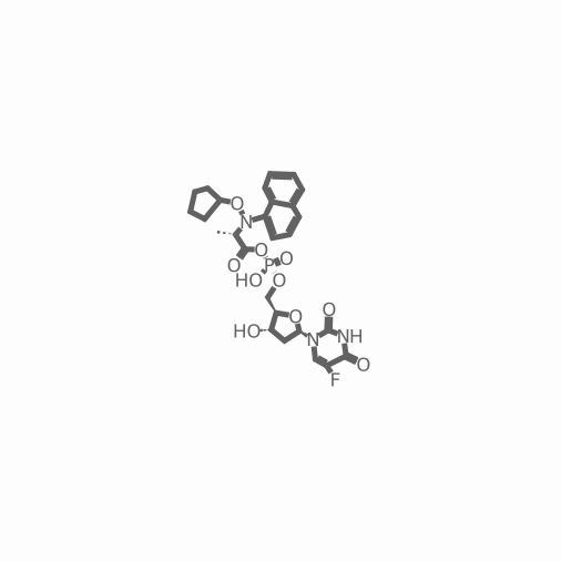 C[C@@H](C(=O)OP(=O)(O)OC[C@H]1O[C@@H](n2cc(F)c(=O)[nH]c2=O)C[C@@H]1O)N(OC1CCCC1)c1cccc2ccccc12